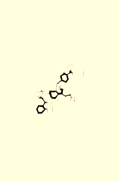 NCCc1cn(Cc2ccc(C(=O)O)cc2)c2ccc(OC(C3=COCO3)c3ccccc3Cl)cc12